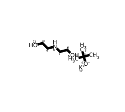 CC(C)(C)[O-].OCCNCCO.[K+]